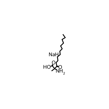 CCCCCCCCCCCC(=O)C(C)(N)C(=O)O.[NaH]